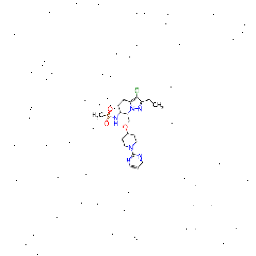 CCc1nn2c(c1Cl)CCC(NS(C)(=O)=O)C2COC1CCN(c2ncccn2)CC1